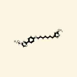 CC[C@H]1COC(c2ccc(OCCCCCCCc3cc(C)no3)cc2)=N1